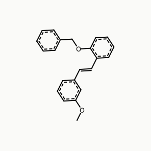 COc1cccc(C=Cc2ccccc2OCc2ccccc2)c1